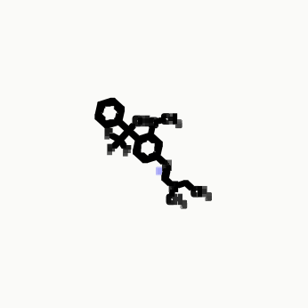 CCN(C)/C=N/c1ccc(C(O)(c2ccccc2)C(F)(F)F)c(OC)c1